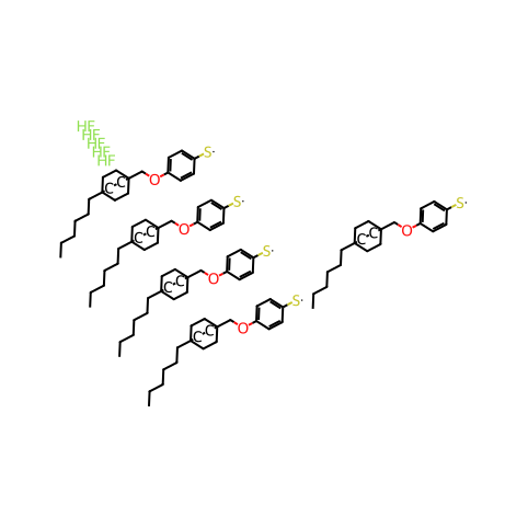 CCCCCCC12CCC(COc3ccc([S])cc3)(CC1)CC2.CCCCCCC12CCC(COc3ccc([S])cc3)(CC1)CC2.CCCCCCC12CCC(COc3ccc([S])cc3)(CC1)CC2.CCCCCCC12CCC(COc3ccc([S])cc3)(CC1)CC2.CCCCCCC12CCC(COc3ccc([S])cc3)(CC1)CC2.F.F.F.F.F